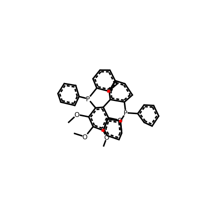 COc1c(OC)c(OC)c(P(c2ccccc2)c2ccccc2)c(-c2ccccc2P(c2ccccc2)c2ccccc2)c1OC